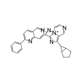 N[N+]12C=CN=CC1=C(C1C3CCCC31)N=C2c1ccc2ccc(-c3ccccc3)nc2c1